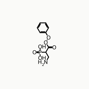 NCC(C(=O)OOc1ccccc1)P(=O)(O)O